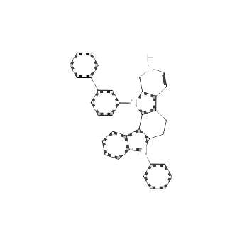 C1=Cc2c3c(n(-c4cccc(-c5ccccc5)c4)c2CN1)-c1c(n(-c2ccccc2)c2ccccc12)CC3